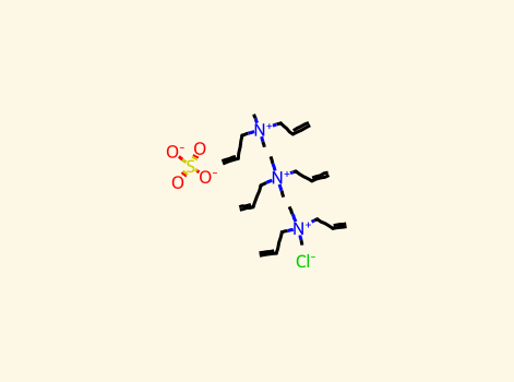 C=CC[N+](C)(C)CC=C.C=CC[N+](C)(C)CC=C.C=CC[N+](C)(C)CC=C.O=S(=O)([O-])[O-].[Cl-]